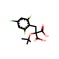 CC(C)(C)OC(Cc1c(F)cc(Cl)cc1F)(C(=O)O)C(=O)O